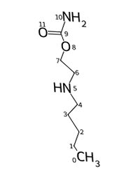 CCCCCNCCOC(N)=O